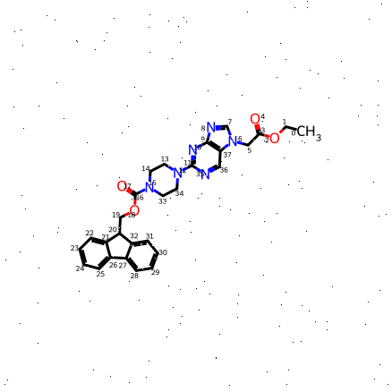 CCOC(=O)Cn1cnc2nc(N3CCN(C(=O)OCC4c5ccccc5-c5ccccc54)CC3)ncc21